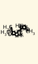 CCOc1cc2c(cc1OC)CCN(C(F)F)C2CCc1c[nH]c2ccc(OC)cc12